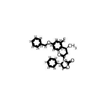 C[C@H](CC(=O)N1C(=O)OC[C@H]1c1ccccc1)c1ccc(OCc2ccccc2)cc1F